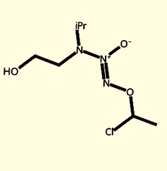 CC(Cl)O/N=[N+](\[O-])N(CCO)C(C)C